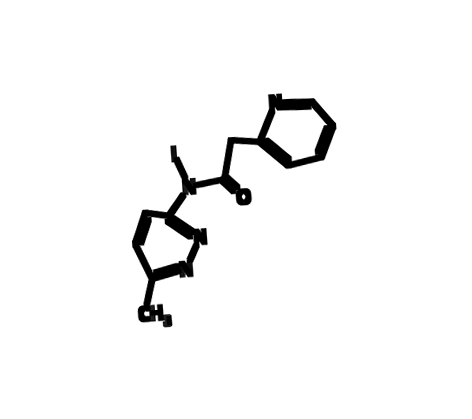 Cc1ccc(N(I)C(=O)Cc2ccccn2)nn1